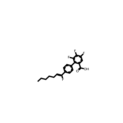 CCCCCC=C(F)c1ccc(-c2c(C(=O)O)cc(F)c(F)c2F)cc1